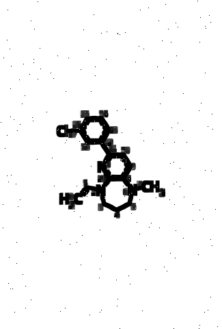 C=CN1CCCN(C)c2ccc(-c3cccc(Cl)c3)nc21